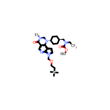 CCN1CN([C@H]2CC[C@H](CN(CC(F)(F)F)C(=O)OC(C)(C)C)CC2)c2c(cnc3c2ccn3COCC[Si](C)(C)C)C1=O